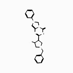 CC1CN(Cc2ccccc2)CC1C1=NC2=CN(c3ccccc3)CN2C(=O)N1